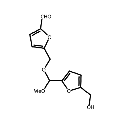 COC(OCc1ccc(C=O)o1)c1ccc(CO)o1